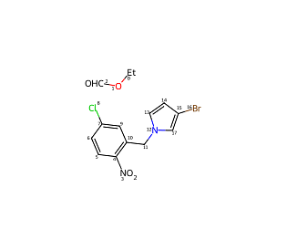 CCOC=O.O=[N+]([O-])c1ccc(Cl)cc1Cn1ccc(Br)c1